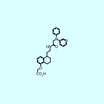 O=C(O)COc1cccc2c1CCCC2CCNC(=O)CN(c1ccccc1)c1cccnc1